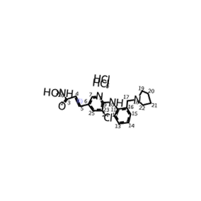 Cl.Cl.O=C(/C=C/c1cnc(Nc2ccccc2CN2CCCC2)c(Cl)c1)NO